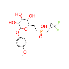 COc1ccc(OC2O[C@H](CCP(=O)(O)CC3CC3(F)F)[C@@H](O)[C@H](O)[C@@H]2O)cc1